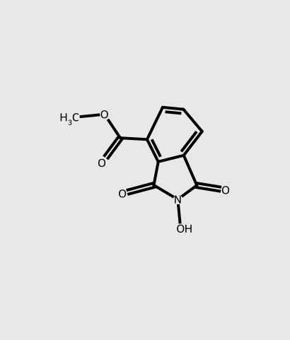 COC(=O)c1cccc2c1C(=O)N(O)C2=O